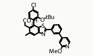 COc1cc(-c2cccc(-c3nc4cc(C)c(CC(=O)O)c(-c5ccc(Cl)cc5OC(C)(C)C)c4s3)c2)ccn1